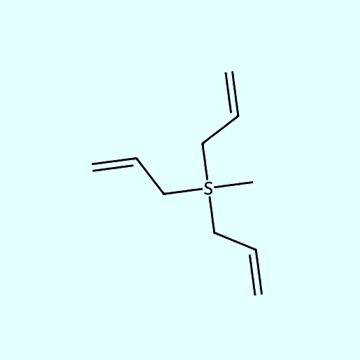 C=CCS(C)(CC=C)CC=C